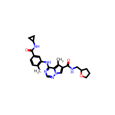 Cc1ccc(C(=O)NC2CC2)cc1Nc1ncnn2cc(C(=O)NCC3CCCO3)c(C)c12